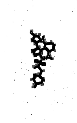 COc1cccc(OC)c1-n1c(NS(=O)(=O)C(C)Cc2ncc(C)cn2)nnc1-c1nc(C)cs1